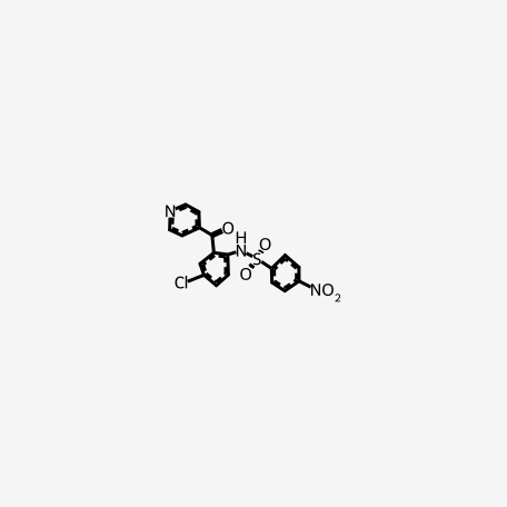 O=C(c1ccncc1)c1cc(Cl)ccc1NS(=O)(=O)c1ccc([N+](=O)[O-])cc1